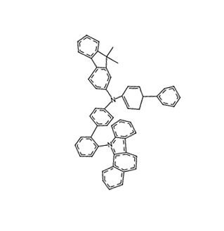 CC1(C)c2ccccc2-c2ccc(N(C3=CCC(c4ccccc4)C=C3)c3ccc(-c4ccccc4-n4c5ccccc5c5ccc6ccccc6c54)cc3)cc21